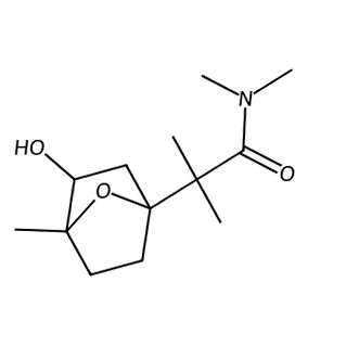 CN(C)C(=O)C(C)(C)C12CCC(C)(O1)C(O)C2